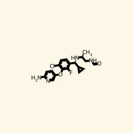 C[C@@H](CNC=O)N[C@@H](c1ccc(Cl)c(Oc2ccc(N)nc2)c1F)C1CC1